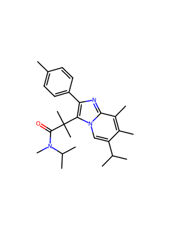 Cc1ccc(-c2nc3c(C)c(C)c(C(C)C)cn3c2C(C)(C)C(=O)N(C)C(C)C)cc1